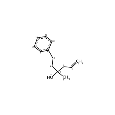 C=CCC(C)(O)CCc1ccccc1